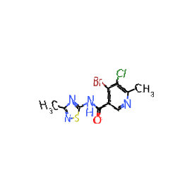 Cc1nsc(NC(=O)c2cnc(C)c(Cl)c2Br)n1